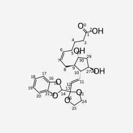 O=C(O)CCC/C=C\C[C@@H]1[C@@H](/C=C/C2(C3Oc4ccccc4O3)OCCO2)[C@H](O)C[C@H]1O